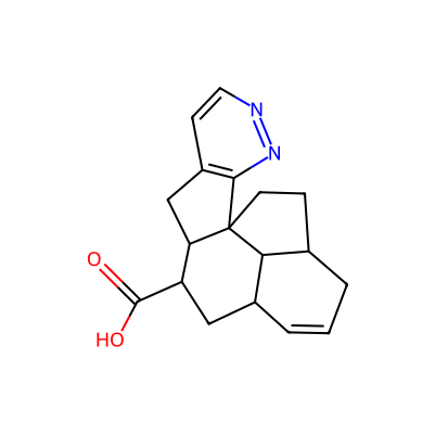 O=C(O)C1CC2C=CCC3CCC4(c5nnccc5CC14)C23